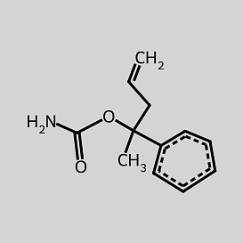 C=CCC(C)(OC(N)=O)c1ccccc1